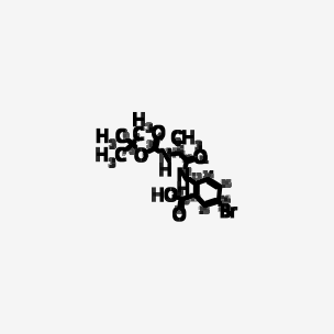 C[C@@H](NC(=O)OC(C)(C)C)C(=O)Nc1ccc(Br)cc1C(=O)O